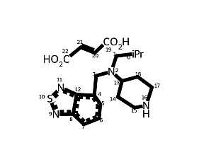 CC(C)CN(Cc1cccc2nsnc12)C1CCNCC1.O=C(O)C=CC(=O)O